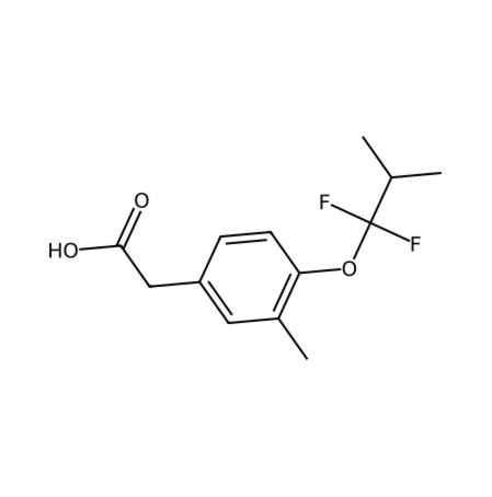 Cc1cc(CC(=O)O)ccc1OC(F)(F)C(C)C